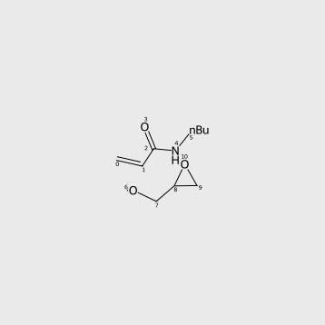 C=CC(=O)NCCCC.[O]CC1CO1